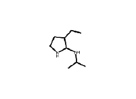 CCC1CCNC1NC(C)C